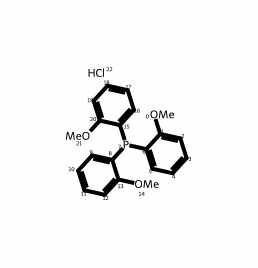 COc1ccccc1P(c1ccccc1OC)c1ccccc1OC.Cl